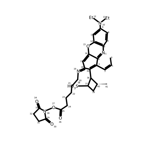 C/C=C\c1c2nc3ccc(N(CC)CC)cc3oc-2c/c(=N/CCCCCC(=O)ON2C(=O)CCC2=O)c1C1C(S(=O)(=O)O)C[C@H]1C